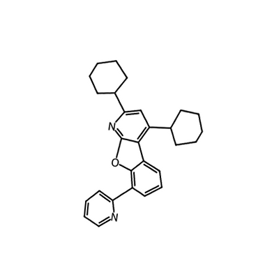 c1ccc(-c2cccc3c2oc2nc(C4CCCCC4)cc(C4CCCCC4)c23)nc1